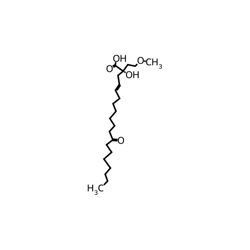 CCCCCCCC(=O)CCCCCC/C=C/C[C@@](O)(CCOC)C(=O)O